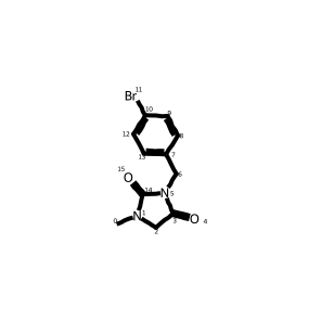 CN1CC(=O)N(Cc2ccc(Br)cc2)C1=O